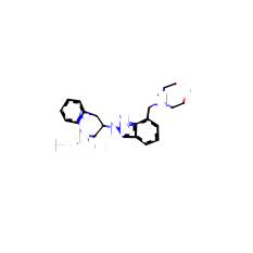 O=C(NO)C(Cc1ccccc1)n1cc2cccc(CN3CCOCC3)c2n1